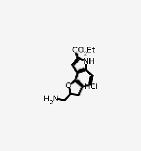 CCOC(=O)c1cc2c3c(ccc2[nH]1)CC(CN)O3.Cl